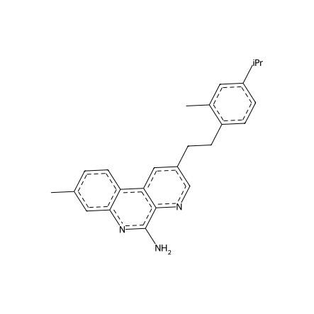 Cc1ccc2c(c1)nc(N)c1ncc(CCc3ccc(C(C)C)cc3C)cc12